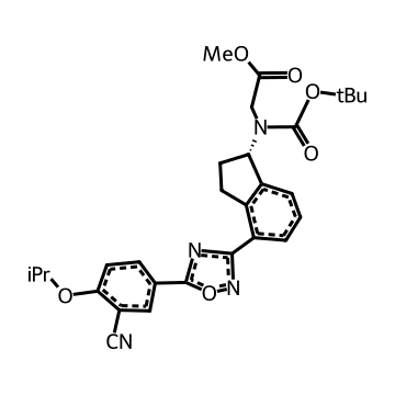 COC(=O)CN(C(=O)OC(C)(C)C)[C@H]1CCc2c(-c3noc(-c4ccc(OC(C)C)c(C#N)c4)n3)cccc21